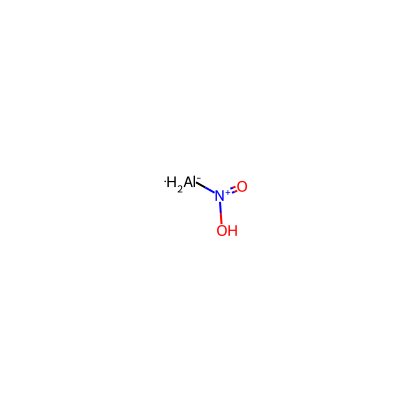 O=[N+](O)[AlH2-]